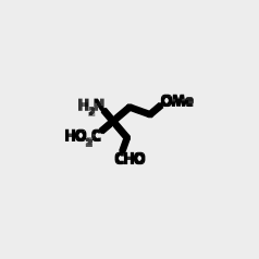 COCCC(N)(CC=O)C(=O)O